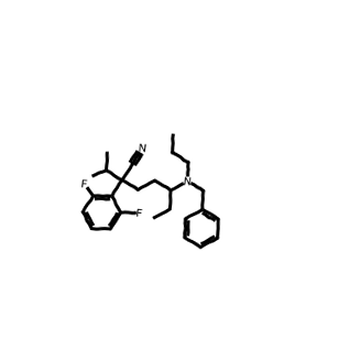 CCCN(Cc1ccccc1)C(CC)CCC(C#N)(c1c(F)cccc1F)C(C)C